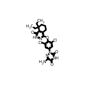 CCC1(CC)CCCc2c(Oc3c(Cl)cc(-n4nc(N)c(=O)[nH]c4=O)cc3Cl)n[nH]c(=O)c21